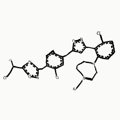 CC(=O)N1CCN(c2cccc(Cl)c2-c2cc(-c3ccc(-c4noc(C(Cl)Cl)n4)c(Cl)c3)on2)CC1